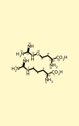 N=C(N)NCCC[C@H](N)C(=O)O.N=C(N)NOCC[C@H](N)C(=O)O